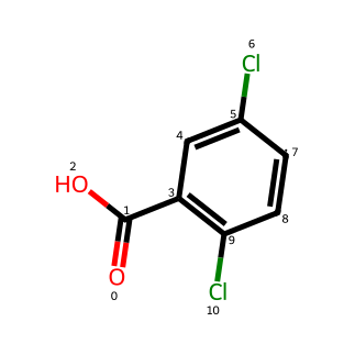 O=C(O)c1cc(Cl)[c]cc1Cl